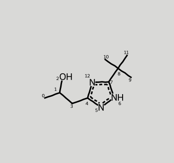 CC(O)Cc1n[nH]c(C(C)(C)C)n1